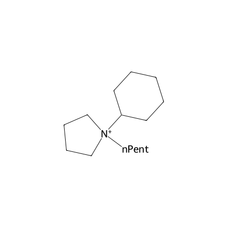 CCCCC[N+]1(C2CCCCC2)CCCC1